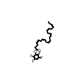 CC/C=C\C/C=C\C/C=C\C/C=C\C/C=C\C/C=C\CCC(=O)Oc1c(F)c(F)cc(F)c1F